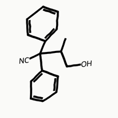 CC(CO)C(C#N)(c1ccccc1)c1ccccc1